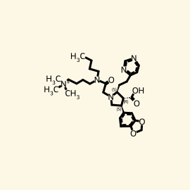 CCCCN(CCCC[N+](C)(C)C)C(=O)CN1C[C@H](c2ccc3c(c2)OCO3)[C@@H](C(=O)O)[C@@H]1CCc1ccncn1